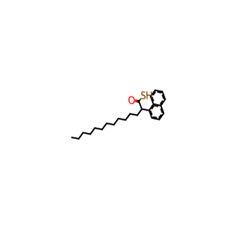 CCCCCCCCCCCCC(C(=O)S)c1cccc2ccccc12